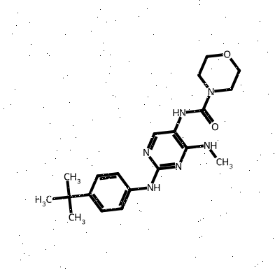 CNc1nc(Nc2ccc(C(C)(C)C)cc2)ncc1NC(=O)N1CCOCC1